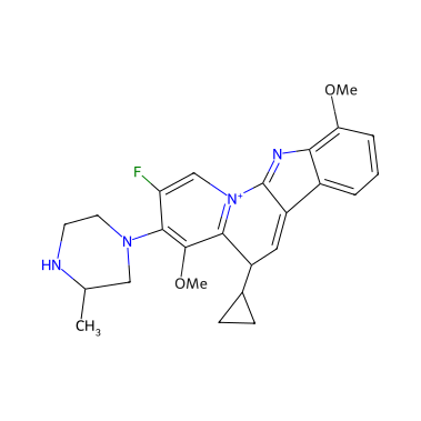 COc1cccc2c1N=C1C2=CC(C2CC2)c2c(OC)c(N3CCNC(C)C3)c(F)c[n+]21